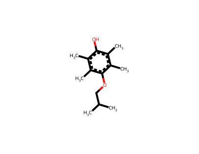 Cc1c(C)c(OCC(C)C)c(C)c(C)c1O